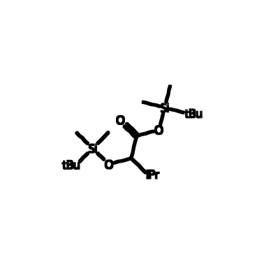 CC(C)C(O[Si](C)(C)C(C)(C)C)C(=O)O[Si](C)(C)C(C)(C)C